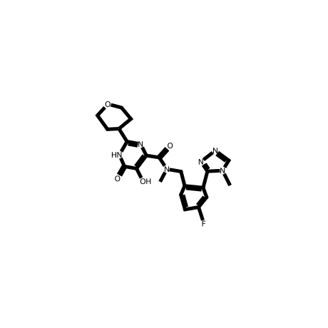 CN(Cc1ccc(F)cc1-c1nncn1C)C(=O)c1nc(C2CCOCC2)[nH]c(=O)c1O